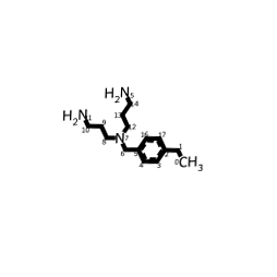 CCc1ccc(CN(CCCN)CCCN)cc1